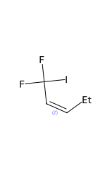 CC/C=C\C(F)(F)I